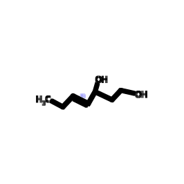 CC/C=C/C(O)CCO